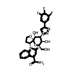 NC(=O)c1cc(=O)n([C@@H]2CCO[C@]23O[C@H](CO)[C@H](O)[C@H](n2cc(-c4cc(F)c(F)c(F)c4)nn2)[C@H]3O)c2ccccc12